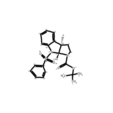 CC(C)(C)OC(=O)N1CC[C@@H]2c3ccccc3N(S(=O)(=O)c3ccccc3)[C@H]21